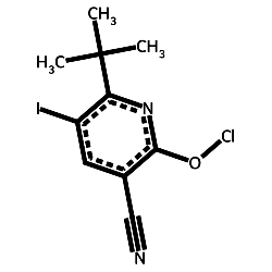 CC(C)(C)c1nc(OCl)c(C#N)cc1I